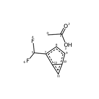 CC(=O)O.FC(F)c1ccc2cc1-2